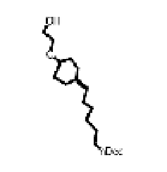 CCCCCCCCCCCCCCCC=C1CCC(OCCO)CC1